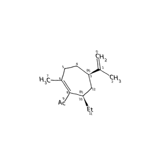 C=C(C)[C@@H]1CCC(C)=C(C(C)=O)[C@H](CC)C1